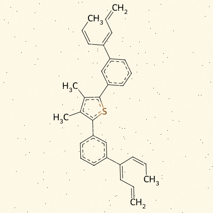 C=C/C=C(\C=C/C)c1cccc(-c2sc(-c3cccc(C(/C=C\C)=C/C=C)c3)c(C)c2C)c1